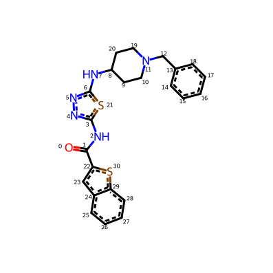 O=C(Nc1nnc(NC2CCN(Cc3ccccc3)CC2)s1)c1cc2ccccc2s1